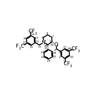 FC(F)(F)c1cc(CO[C@H]2CCCN(Cc3cc(C(F)(F)F)cc(C(F)(F)F)c3)[C@H]2c2ccccc2)cc(C(F)(F)F)c1